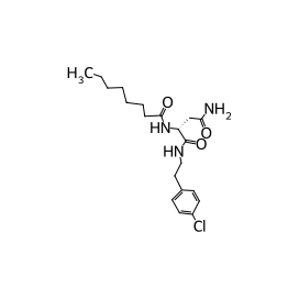 CCCCCCCC(=O)N[C@H](CC(N)=O)C(=O)NCCc1ccc(Cl)cc1